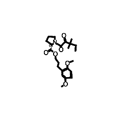 CCC(C)(C)C(=O)C(=O)N1CCC[C@H]1C(=O)OCCCc1cc(OC)ccc1OC